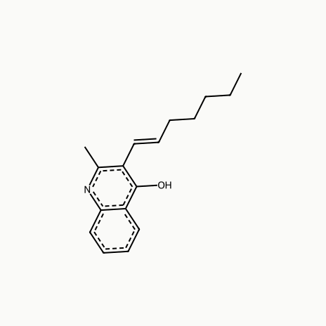 CCCCCC=Cc1c(C)nc2ccccc2c1O